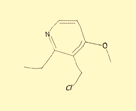 CCc1nccc(OC)c1CCl